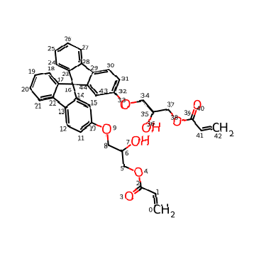 C=CC(=O)OCC(O)COc1ccc2c(c1)C1(c3ccccc3-2)c2ccccc2-c2ccc(OCC(O)COC(=O)C=C)cc21